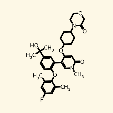 Cc1cc(F)cc(C)c1Oc1ccc(C(C)(C)O)cc1-c1cn(C)c(=O)cc1OC1CCC(N2CCOCC2=O)CC1